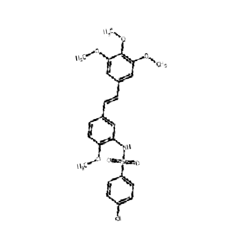 COc1ccc(C=Cc2cc(OC)c(OC)c(OC)c2)cc1NS(=O)(=O)c1ccc(Cl)cc1